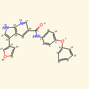 O=C(Nc1ccc(Oc2ccccc2)cc1)c1cnc2[nH]cc(-c3ccoc3)c2c1